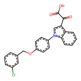 O=C(O)C(=O)c1cn(-c2ccc(OCc3cccc(Cl)c3)cc2)c2ccccc12